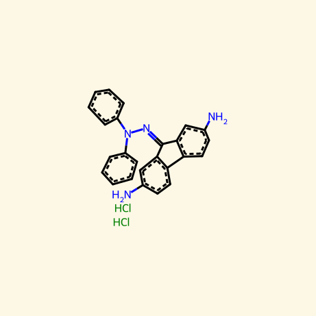 Cl.Cl.Nc1ccc2c(c1)C(=NN(c1ccccc1)c1ccccc1)c1cc(N)ccc1-2